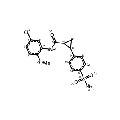 COc1ccc(Cl)cc1NC(=O)C1CC1c1ccc(S(N)(=O)=O)cc1